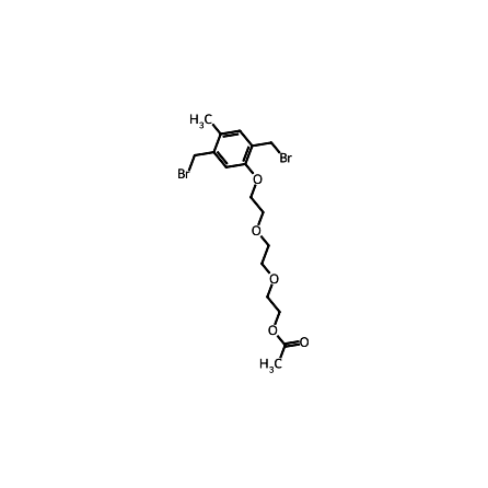 CC(=O)OCCOCCOCCOc1cc(CBr)c(C)cc1CBr